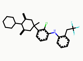 C=C1CC(C)(c2cccc(Nc3ccccc3CC(F)(F)F)c2Cl)CC(=C)C1C1CCCCC1